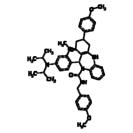 COc1ccc(CNC(=O)N2c3ccccc3NC3=C(C(=O)CC(c4ccc(OC)cc4)C3)C2c2ccc(N(C(C)C)C(C)C)cc2OC)cc1